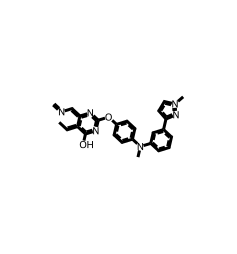 C=N/C=c1/nc(Oc2ccc(N(C)c3cccc(-c4ccn(C)n4)c3)cc2)nc(O)/c1=C/C